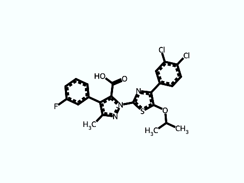 Cc1nn(-c2nc(-c3ccc(Cl)c(Cl)c3)c(OC(C)C)s2)c(C(=O)O)c1-c1cccc(F)c1